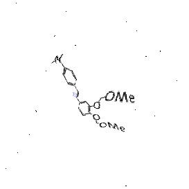 COCOc1ccc(/C=C/c2ccc(N(C)C)cc2)cc1OCOC